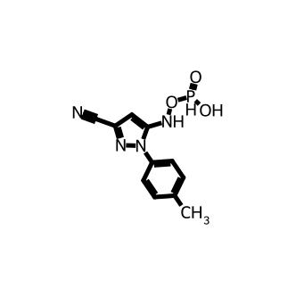 Cc1ccc(-n2nc(C#N)cc2NO[PH](=O)O)cc1